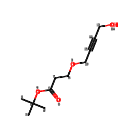 CC(C)(C)OC(=O)CCOCC#CCO